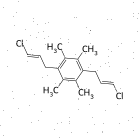 Cc1c(C)c(CC=CCl)c(C)c(C)c1CC=CCl